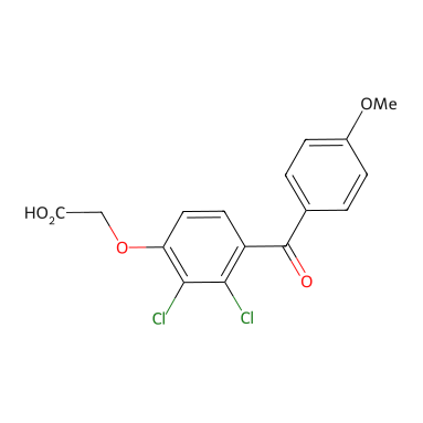 COc1ccc(C(=O)c2ccc(OCC(=O)O)c(Cl)c2Cl)cc1